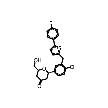 O=C1C[C@@H](CO)O[C@@H](c2ccc(Cl)c(Cc3ccc(-c4ccc(F)cc4)s3)c2)C1